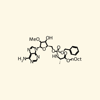 CCCCCCCCOC(=O)[C@H](C)NP(=O)(OCc1ccccc1)OC[C@H]1O[C@@H](n2cnc3c(N)ncnc32)C(OC)C1O